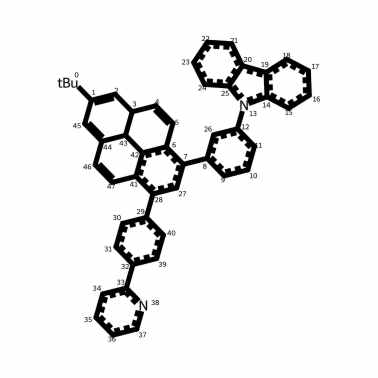 CC(C)(C)C1=CC2C=Cc3c(-c4cccc(-n5c6ccccc6c6ccccc65)c4)cc(-c4ccc(-c5ccccn5)cc4)c4c3C2C(=C1)C=C4